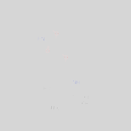 CC[C]C(CC)(CC)c1[nH]c2cc(OCCC3Oc4ccccc4NC3=O)ccc2c1CC